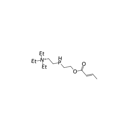 CC=CC(=O)OCCPCC[N+](CC)(CC)CC